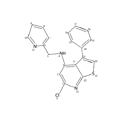 Clc1cc(NCc2ccccn2)c2c(-c3ccccc3)csc2n1